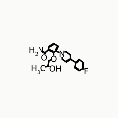 CC(O)COc1c(C(N)=O)cccc1N1CC=C(c2ccc(F)cc2)CC1